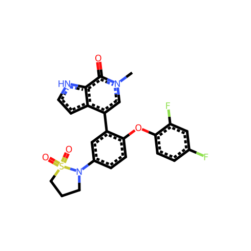 Cn1cc(-c2cc(N3CCCS3(=O)=O)ccc2Oc2ccc(F)cc2F)c2cc[nH]c2c1=O